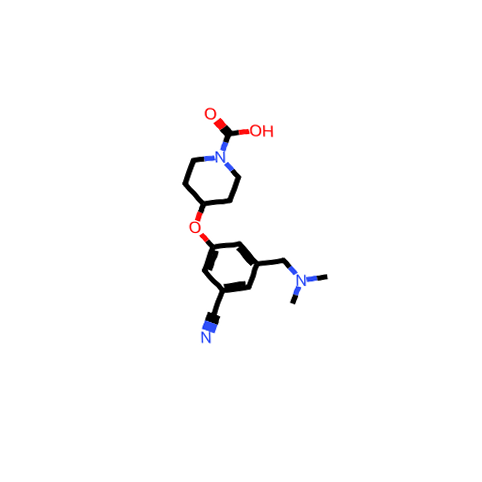 CN(C)Cc1cc(C#N)cc(OC2CCN(C(=O)O)CC2)c1